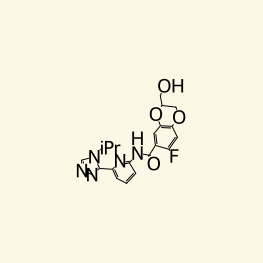 CC(C)n1cnnc1-c1cccc(NC(=O)c2cc3c(cc2F)OCC(CO)O3)n1